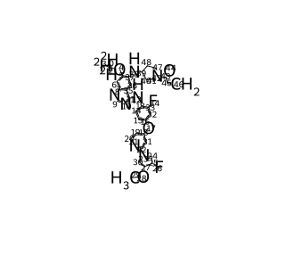 [2H]C([2H])([2H])Oc1cc2ncnc(Nc3ccc(Oc4ccnc(N5C[C@@H](F)[C@H](OC)C5)c4)cc3F)c2cc1NC1CCN(C(=O)C=C)CC1